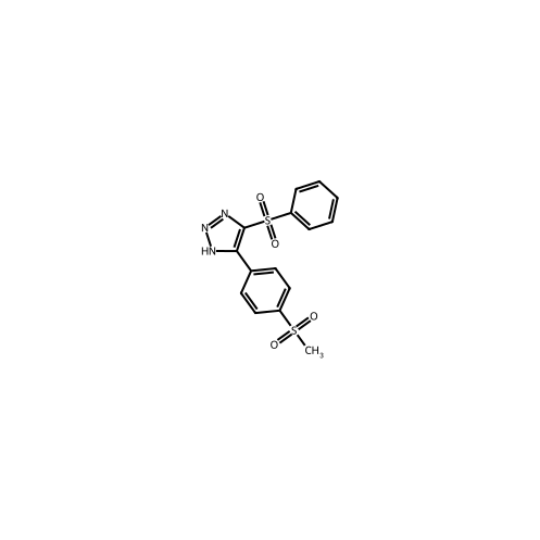 CS(=O)(=O)c1ccc(-c2[nH]nnc2S(=O)(=O)c2ccccc2)cc1